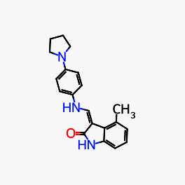 Cc1cccc2c1C(=CNc1ccc(N3CCCC3)cc1)C(=O)N2